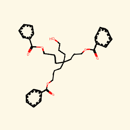 O=C(OCCCC(CCCO)(CCCOC(=O)c1ccccc1)CCCOC(=O)c1ccccc1)c1ccccc1